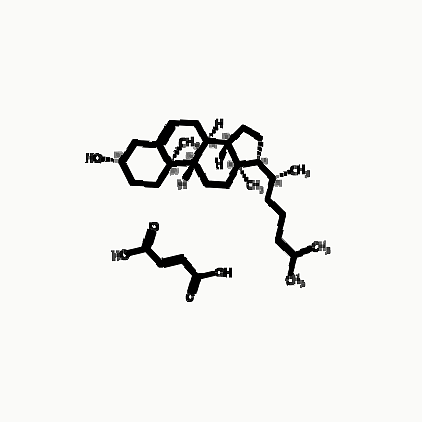 CC(C)CCC[C@@H](C)[C@H]1CC[C@H]2[C@@H]3CC=C4C[C@@H](O)CC[C@]4(C)[C@H]3CC[C@]12C.O=C(O)C=CC(=O)O